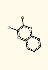 Clc1nc2c[c]ccc2nc1Cl